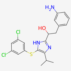 CC(C)c1nc(C(O)Cc2cccc(N)c2)[nH]c1Sc1cc(Cl)cc(Cl)c1